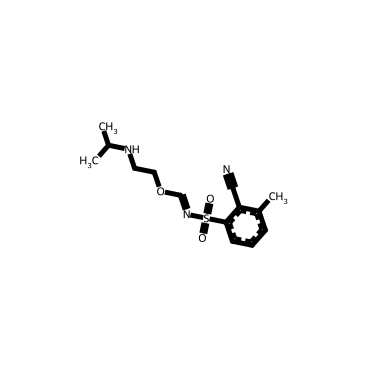 Cc1cccc(S(=O)(=O)N=COCCNC(C)C)c1C#N